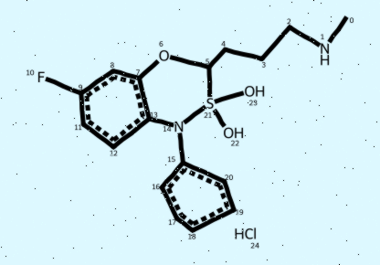 CNCCCC1Oc2cc(F)ccc2N(c2ccccc2)S1(O)O.Cl